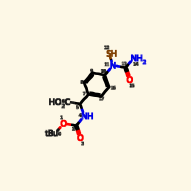 CC(C)(C)OC(=O)NC(C(=O)O)c1ccc(N(S)C(N)=O)cc1